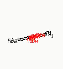 CC=COCCOOOOOOOOOC=CCCCCCCCCCCCCCCCCCC.CC=COCCOOOOOOOOOC=CCCCCCCCCCCCCCCCCCC.O=P(O)(O)O